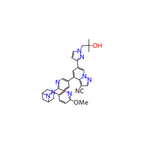 COc1ccc(CN2C3CC2CN(c2ccc(-c4cc(-c5ccn(CC(C)(C)O)n5)cn5ncc(C#N)c45)cn2)C3)cn1